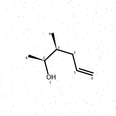 C=CC[C@H](C)[C@H](C)O